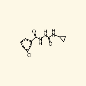 O=C(NNC(=O)c1cccc(Cl)c1)NC1CC1